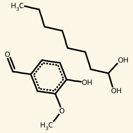 CCCCCCCC(O)O.COc1cc(C=O)ccc1O